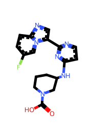 O=C(O)N1CCCC(Nc2ccnc(-c3cnc4ccc(F)cn34)n2)C1